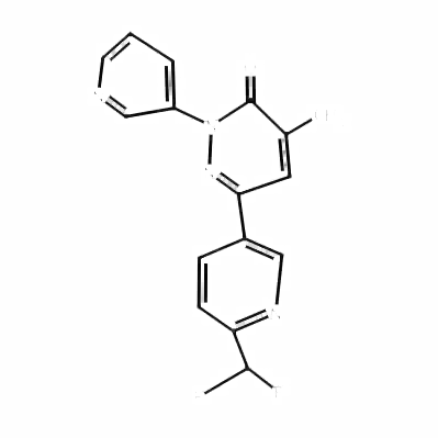 Cc1cc(-c2ccc(C(F)F)nc2)nn(-c2cccnc2)c1=O